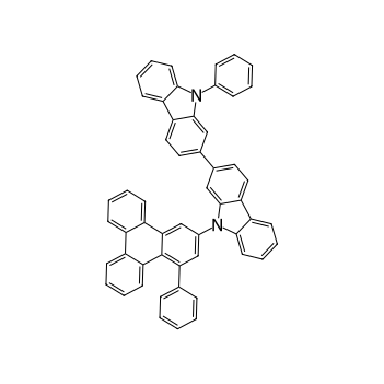 c1ccc(-c2cc(-n3c4ccccc4c4ccc(-c5ccc6c7ccccc7n(-c7ccccc7)c6c5)cc43)cc3c4ccccc4c4ccccc4c23)cc1